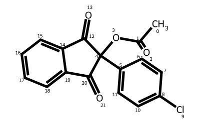 CC(=O)OC1(c2[c]cc(Cl)cc2)C(=O)c2ccccc2C1=O